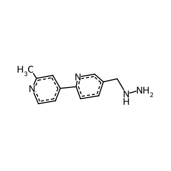 Cc1cc(-c2ccc(CNN)cn2)ccn1